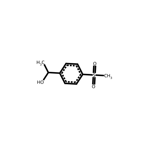 CC(O)c1ccc(S(C)(=O)=O)cc1